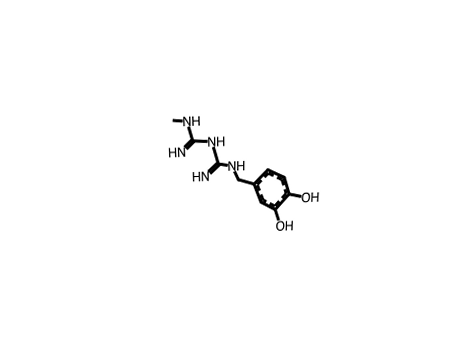 CNC(=N)NC(=N)NCc1ccc(O)c(O)c1